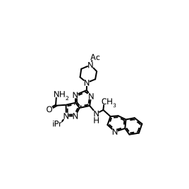 CC(=O)N1CCN(c2nc(NC(C)c3cnc4ccccc4c3)c3nn(C(C)C)c(C(N)=O)c3n2)CC1